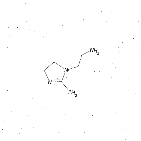 NCCN1CCN=C1P